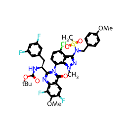 COc1ccc(CN(c2nn(C)c3c(-n4c([C@H](Cc5cc(F)cc(F)c5)NC(=O)OC(C)(C)C)nc5c(F)c(OC)c(F)cc5c4=O)ccc(Cl)c23)S(C)(=O)=O)cc1